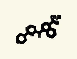 O=C(O)C(=O)c1ccc(NC2CC=NC(N3CCOCC3)=N2)c2ccccc12